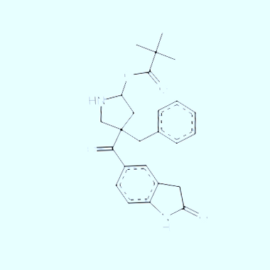 CC(C)(C)C(=O)OC1CC(Cc2ccccc2)(C(=O)c2ccc3c(c2)CC(=O)N3)CN1